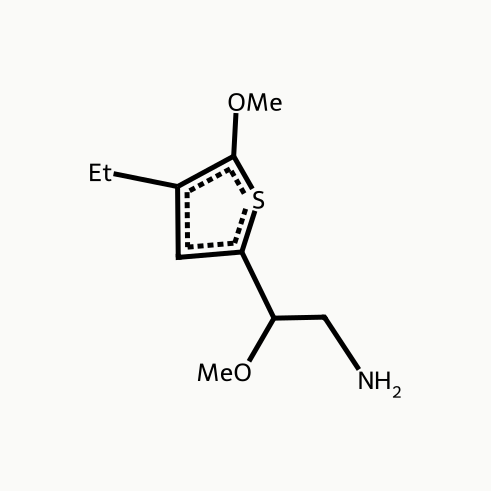 CCc1cc(C(CN)OC)sc1OC